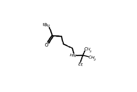 CCC(C)(C)NCCCC(=O)C(C)(C)C